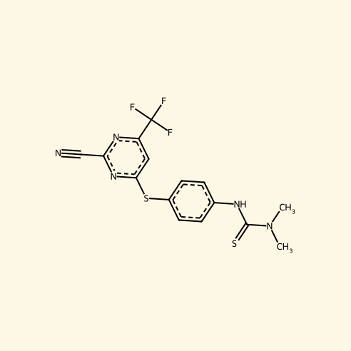 CN(C)C(=S)Nc1ccc(Sc2cc(C(F)(F)F)nc(C#N)n2)cc1